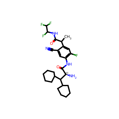 CC(C(=O)NC(F)C(F)F)c1cc(F)c(NC(=O)[C@@H](N)C(C2CCCCC2)C2CCCCC2)cc1C#N